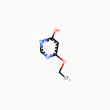 Oc1cc(OCC(F)(F)F)ncn1